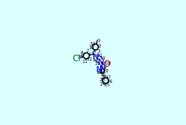 Cc1ccc(C(c2ccc(Cl)cc2)N2CCN(C(=O)n3cc(-c4ccccc4)cn3)CC2)cc1